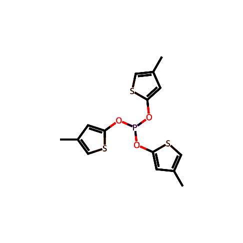 Cc1csc(OP(Oc2cc(C)cs2)Oc2cc(C)cs2)c1